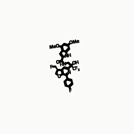 COc1cc(OC)c2cc(C(=O)NC[C@](O)(c3cc4c(c(-c5ccc(F)cc5)n3)OC[C@H]4CF)C(F)(F)F)[nH]c2c1